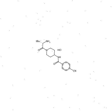 CC(C)(C)[C@H](N)C(=O)N1CCC(NC(=O)c2ccc(C#N)cc2)CC1.Cl